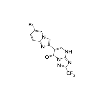 O=c1c(-c2cn3cc(Br)ccc3n2)c[nH]c2nc(C(F)(F)F)nn12